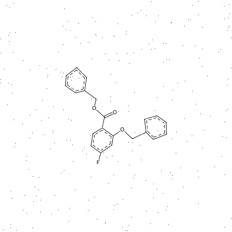 O=C(OCc1ccccc1)c1ccc(F)cc1OCc1ccccc1